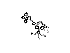 CCC1(CC)c2cc(/C=C/c3cccc4c3-c3ccccc3C4(c3ccccc3)c3ccccc3)ccc2-c2ccc(N(c3cc(C)c(C)c(C)c3)c3cc(C)c(C)c(C)c3)cc21